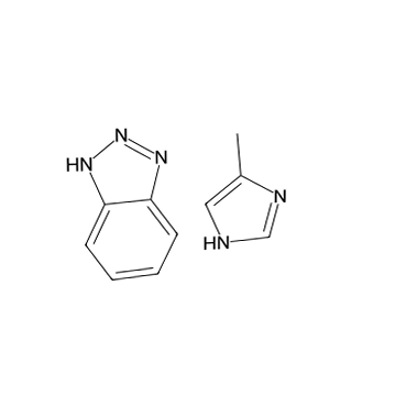 Cc1c[nH]cn1.c1ccc2[nH]nnc2c1